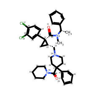 C[C@@H](c1ccccc1)N(C)C(=O)[C@@]1(c2ccc(Cl)c(Cl)c2)C[C@H]1CN1CCC(C(=O)N2CCCCC2)(c2ccccc2)CC1